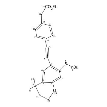 CCCCSc1cc2c(cc1C#Cc1ccc(CC(=O)OCC)cc1)C(C)(C)CCO2